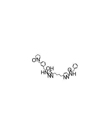 O=C(Cc1ccccc1)Nc1ccc(CCCCc2nnc(NC(O)Cc3cccc(CN4CCCCC4=O)c3)s2)nn1